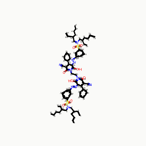 CCCCC(CC)CN(CC(CC)CCCC)S(=O)(=O)c1cccc(/N=N/c2c(-c3ccccc3)c(C#N)c(=O)n(CCn3c(O)c(/N=N/c4cccc(S(=O)(=O)N(CC(CC)CCCC)CC(CC)CCCC)c4)c(-c4ccccc4)c(C#N)c3=O)c2O)c1